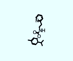 CC1=CC(OC(=O)NCCc2ccccn2)C(C(C)C)C=C1